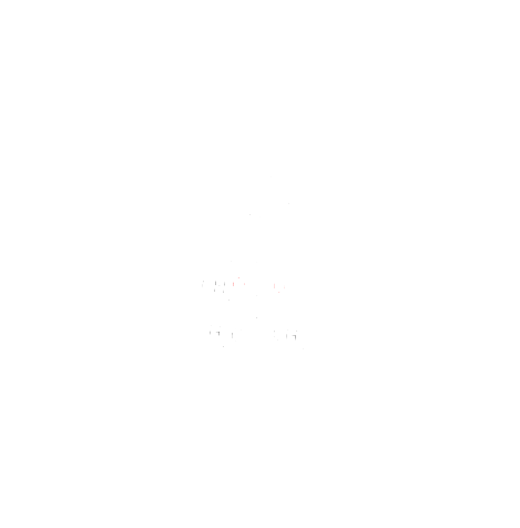 C=CC1(OC(=O)C(=C)C)CCc2ccccc2C1